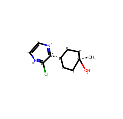 C[C@]1(O)CC[C@H](c2nccnc2Cl)CC1